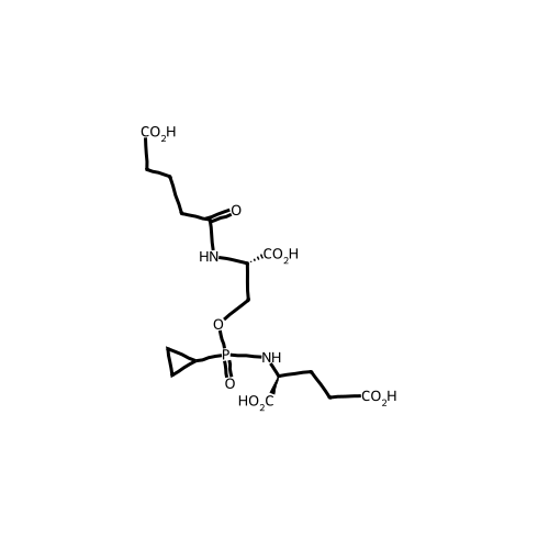 O=C(O)CCCC(=O)N[C@@H](COP(=O)(N[C@@H](CCC(=O)O)C(=O)O)C1CC1)C(=O)O